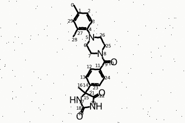 Cc1ccc(N2CCN(C(=O)c3ccc(C4(C)NC(=O)NC4=O)cc3)CC2)c(C)c1